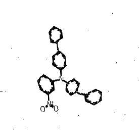 O=[N+]([O-])c1cccc(N(c2ccc(-c3ccccc3)cc2)c2ccc(-c3ccccc3)cc2)c1